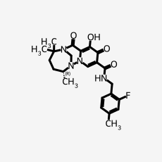 Cc1ccc(CNC(=O)c2cn3c(c(O)c2=O)C(=O)N2CN3[C@H](C)CCC2(C)C)c(F)c1